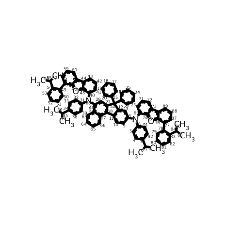 CC(C)c1ccc(N(c2ccc3c(c2)C(c2ccccc2)(c2ccccc2)c2cc(N(c4ccc(C(C)C)cc4)c4cccc5c4oc4c(-c6ccccc6C(C)C)cccc45)c4ccccc4c2-3)c2cccc3c2oc2c(-c4ccccc4C(C)C)cccc23)cc1